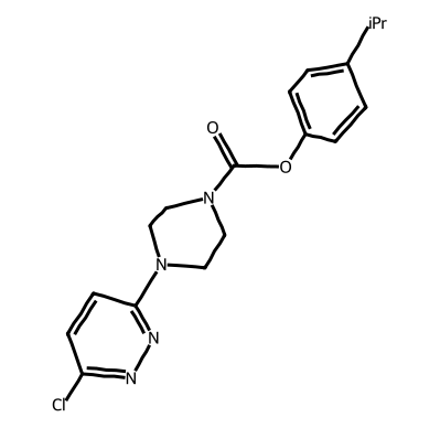 CC(C)c1ccc(OC(=O)N2CCN(c3ccc(Cl)nn3)CC2)cc1